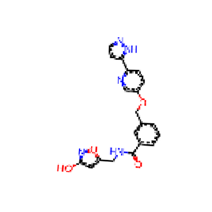 O=C(NCc1cc(O)no1)c1cccc(COc2ccc(-c3ccn[nH]3)nc2)c1